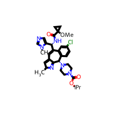 COC1(C(=O)N[C@H](C2=CC3=CC(C)N=C3[C@@H](N3CCN(C(=O)OC(C)C)CC3)c3ccc(Cl)cc32)c2cncn2C)CC1